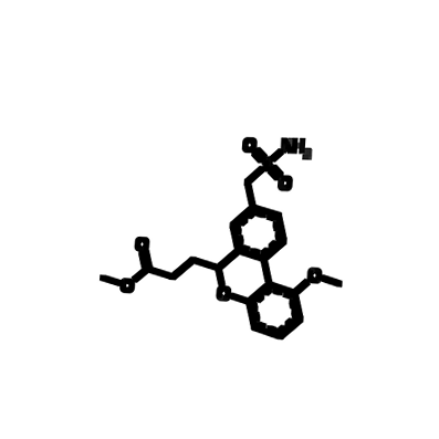 COC(=O)CCC1Oc2cccc(OC)c2-c2ccc(CS(N)(=O)=O)cc21